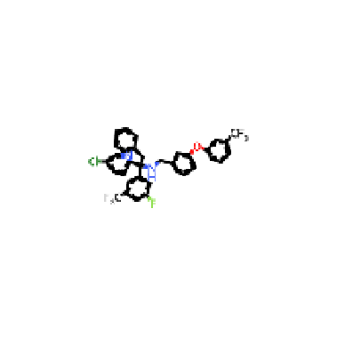 Fc1cc(C(F)(F)F)cc(C(Cc2ccccc2)(NCc2cccc(Oc3cccc(C(F)(F)F)c3)c2)c2ccc(Cl)cn2)c1